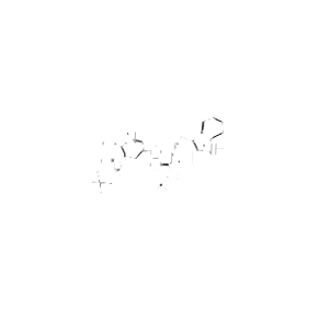 CC1(C)COB(c2cc(OC[C@H](Cc3c[nH]c4ccccc34)NC(=O)OC(C)(C)C)cnc2Cl)OC1